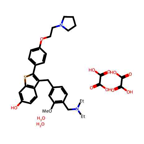 CCN(CC)Cc1ccc(Cc2c(-c3ccc(OCCN4CCCC4)cc3)sc3cc(O)ccc23)cc1OC.O.O.O=C(O)C(=O)O.O=C(O)C(=O)O